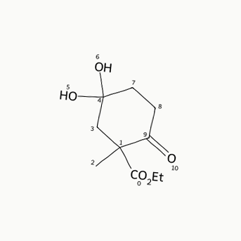 CCOC(=O)C1(C)CC(O)(O)CCC1=O